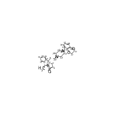 CCN1C(=O)CCC1C(CCN1CCN(c2cccc3c2OCCO3)CC1)c1ccccc1